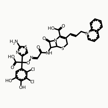 Nc1nc(C(ON=CC(=O)NC2C(=O)N3C(C(=O)O)=C(C=CC[n+]4cccc5ccccc54)CSC23)(C(=O)O)c2cc(O)c(O)c(Cl)c2Cl)cs1